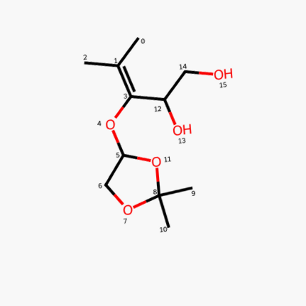 CC(C)=C(OC1COC(C)(C)O1)C(O)CO